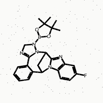 CC1(C)OB(N2CN=C3c4ccccc4C4CC(c5nc6cc(F)ccc6n54)N32)OC1(C)C